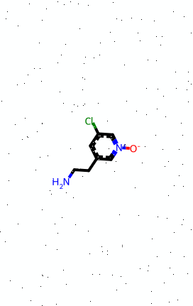 NCCc1cc(Cl)c[n+]([O-])c1